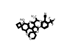 CC(C)c1nc2c(c3c1[C@@H](c1ccc(C(F)(F)F)c(C#N)c1)OC31CCOCC1)C(O)CC1(CCC1)[C@H]2O